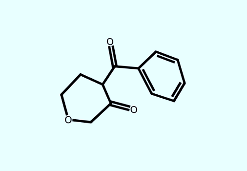 O=C1COCCC1C(=O)c1ccccc1